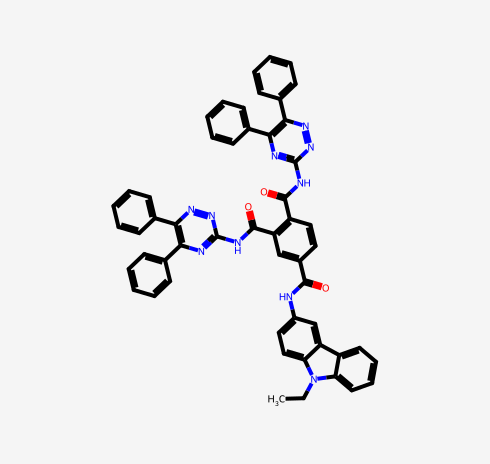 CCn1c2ccccc2c2cc(NC(=O)c3ccc(C(=O)Nc4nnc(-c5ccccc5)c(-c5ccccc5)n4)c(C(=O)Nc4nnc(-c5ccccc5)c(-c5ccccc5)n4)c3)ccc21